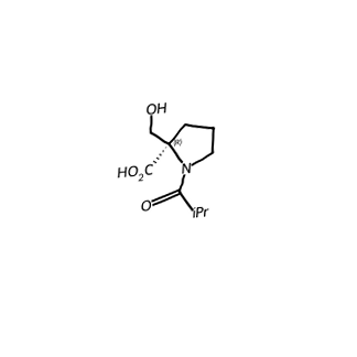 CC(C)C(=O)N1CCC[C@@]1(CO)C(=O)O